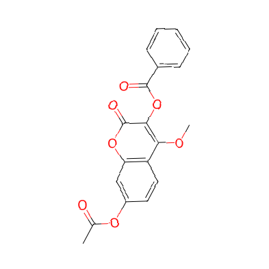 COc1c(OC(=O)c2ccccc2)c(=O)oc2cc(OC(C)=O)ccc12